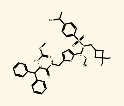 COC(=O)N[C@H](C(=O)NCc1ccc([C@@H](CO)N(CC2CC(F)(F)C2)S(=O)(=O)c2ccc(C(C)O)cc2)s1)C(c1ccccc1)c1ccccc1